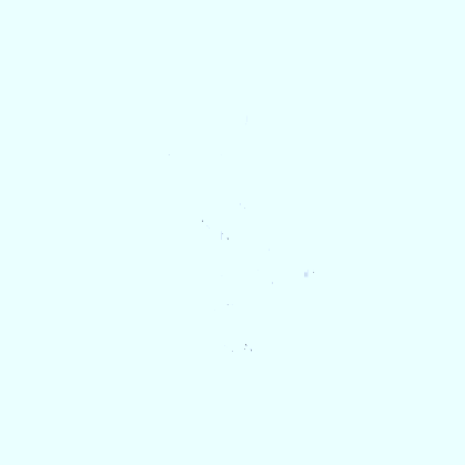 Cc1cc(-c2ncn(/C=C(\C(=O)OC(C)C)c3cccnc3)n2)cc(C(F)(F)F)c1